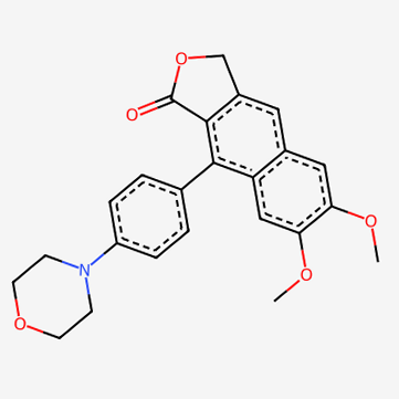 COc1cc2cc3c(c(-c4ccc(N5CCOCC5)cc4)c2cc1OC)C(=O)OC3